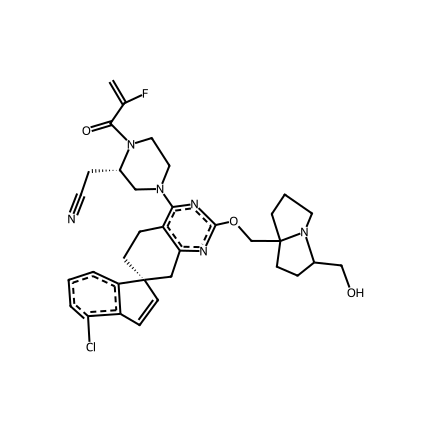 C=C(F)C(=O)N1CCN(c2nc(OCC34CCCN3C(CO)CC4)nc3c2CC[C@@]2(C=Cc4c(Cl)cccc42)C3)C[C@@H]1CC#N